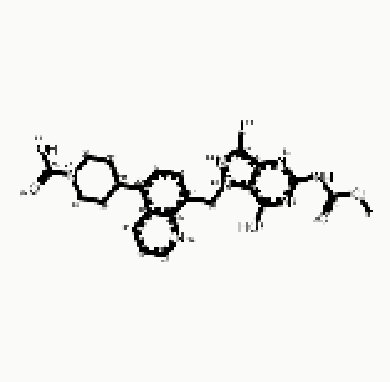 COC(=O)Nc1nc(O)c2c(n1)c(I)nn2Cc1ccc(C2CCN(C(=O)O)CC2)c2cccnc12